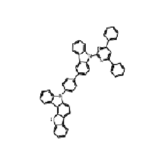 c1ccc(-c2cc(-c3ccccc3)nc(-n3c4ccccc4c4cc(-c5ccc(-n6c7ccccc7c7c8oc9ccccc9c8ccc76)cc5)ccc43)n2)cc1